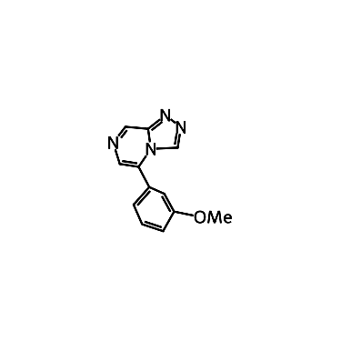 COc1cccc(-c2cncc3nncn23)c1